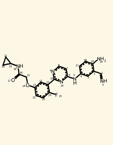 N=Cc1cc(Nc2ccnc(-c3cc(OCC(=O)NC4CC4)ccc3F)n2)ccc1N